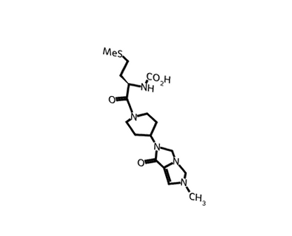 CSCC[C@@H](NC(=O)O)C(=O)N1CCC(N2CN3CN(C)C=C3C2=O)CC1